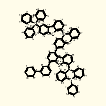 c1ccc(-c2cccc(-c3ccc(-c4ccc5c(c4)Oc4ccccc4B5c4cccc5c4oc4ccc([Si](c6ccccc6)(c6ccccc6)c6ccccc6)cc45)c4c3sc3c(B5c6ccccc6N(c6ccccc6)c6ccccc65)cccc34)c2)cc1